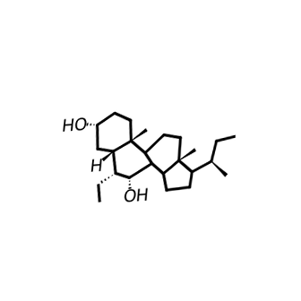 CC[C@H]1[C@@H](O)C2C3CCC([C@H](C)CC)[C@@]3(C)CCC2[C@@]2(C)CC[C@@H](O)C[C@@H]12